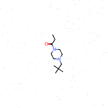 CCC(=O)N1CCN(CC(C)(C)C)CC1